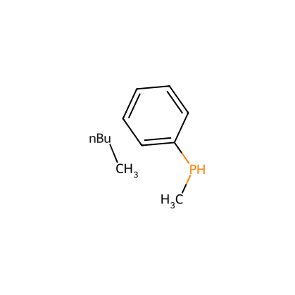 CCCCC.CPc1ccccc1